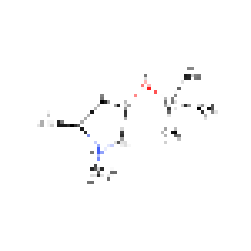 CC(C)(C)[Si](C)(C)O[C@H]1C[C@H](C=O)N(C(=O)O)C1